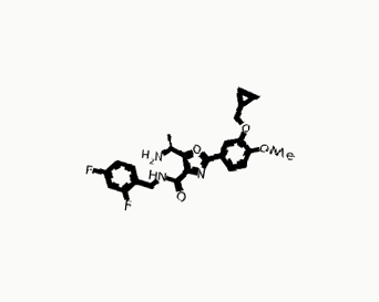 COc1ccc(-c2nc(C(=O)NCc3ccc(F)cc3F)c([C@H](C)N)o2)cc1OCC1CC1